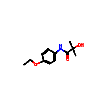 CCOc1ccc(NC(=O)C(C)(C)O)cc1